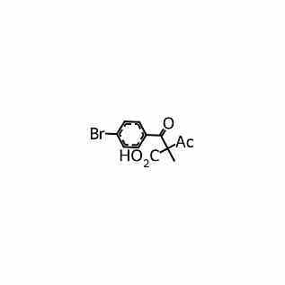 CC(=O)C(C)(C(=O)O)C(=O)c1ccc(Br)cc1